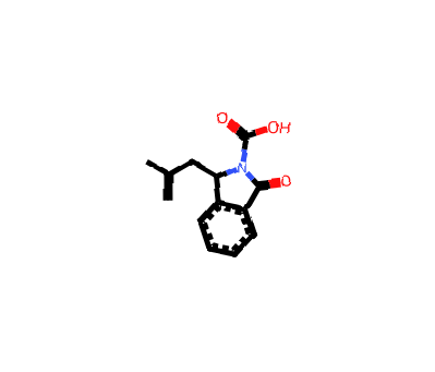 C=C(C)CC1c2ccccc2C(=O)N1C(=O)O